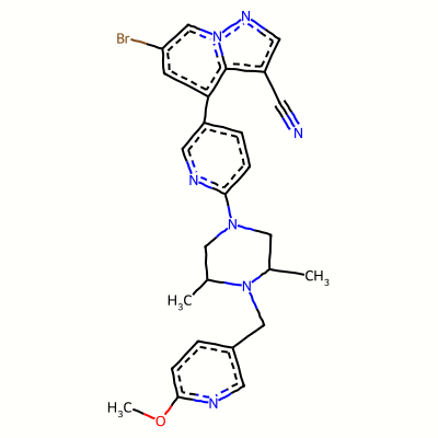 COc1ccc(CN2C(C)CN(c3ccc(-c4cc(Br)cn5ncc(C#N)c45)cn3)CC2C)cn1